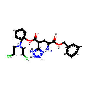 NC(CC(C(=O)Oc1ccccc1N(CCCl)CCCl)c1nnn[nH]1)C(=O)OCc1ccccc1